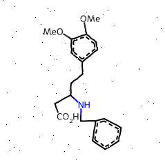 COc1ccc(CCC(CC(=O)O)NCc2ccccc2)cc1OC